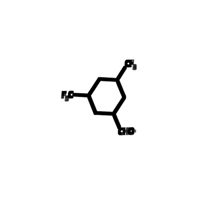 O=[C]C1CC(C(F)(F)F)CC(C(F)(F)F)C1